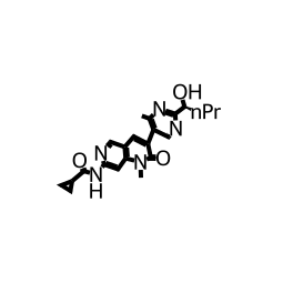 CCC[C@H](O)c1ncc(-c2cc3cnc(NC(=O)C4CC4)cc3n(C)c2=O)c(C)n1